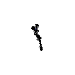 CC(C)(C)OC(=O)CCCCCCCNC(=O)c1ccc(-c2csc(N3N=C(c4ccccc4)/C(=N\Nc4nccs4)C3=O)n2)cc1